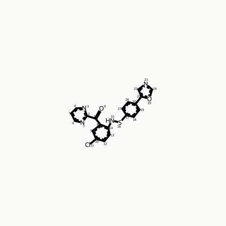 O=C(c1ncccn1)c1cc(Cl)ccc1NSc1ccc(-c2cnco2)cc1